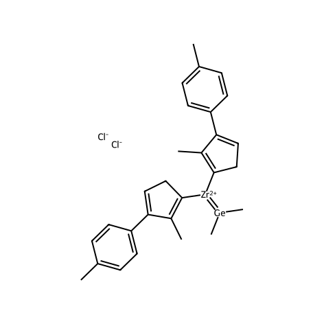 CC1=[C]([Zr+2]([C]2=C(C)C(c3ccc(C)cc3)=CC2)=[Ge]([CH3])[CH3])CC=C1c1ccc(C)cc1.[Cl-].[Cl-]